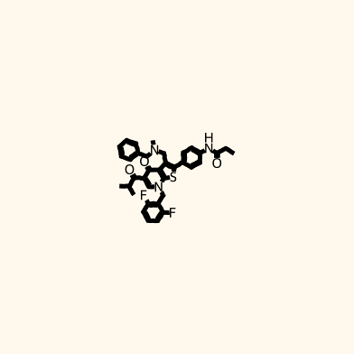 CCC(=O)Nc1ccc(-c2sc3c(c2CN(C)Cc2ccccc2)c(=O)c(C(=O)C(C)C)cn3Cc2c(F)cccc2F)cc1